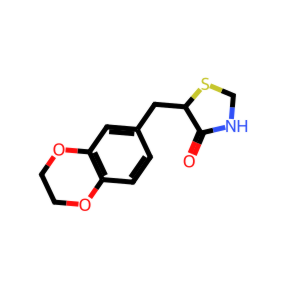 O=C1NCSC1Cc1ccc2c(c1)OCCO2